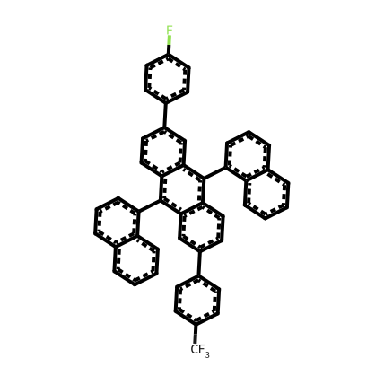 Fc1ccc(-c2ccc3c(-c4cccc5ccccc45)c4cc(-c5ccc(C(F)(F)F)cc5)ccc4c(-c4cccc5ccccc45)c3c2)cc1